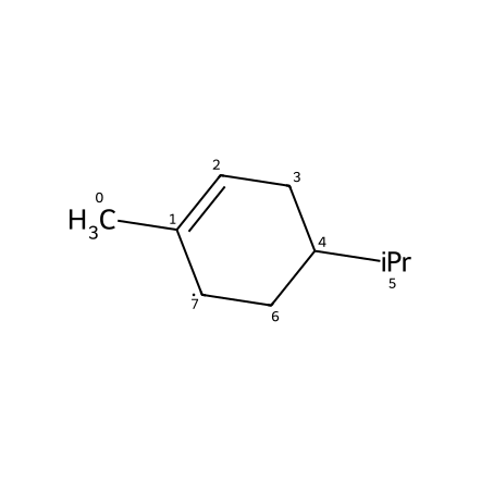 CC1=CCC(C(C)C)C[CH]1